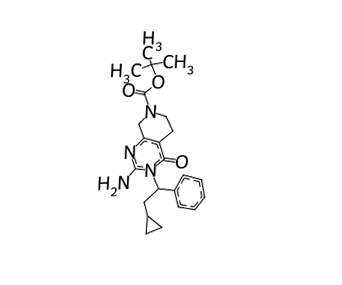 CC(C)(C)OC(=O)N1CCc2c(nc(N)n(C(CC3CC3)c3ccccc3)c2=O)C1